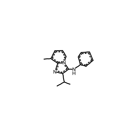 Cc1cccn2c(Nc3ccccc3)c(C(C)C)nc12